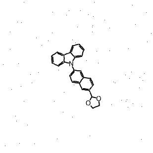 c1ccc2c(c1)c1ccccc1n2-c1ccc2cc(C3OCCO3)ccc2c1